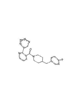 O=C(c1cccnc1-c1ccnnc1)N1CCC(Cc2ccc(F)cc2)CC1